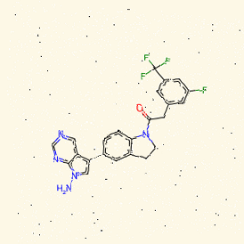 Nn1cc(-c2ccc3c(c2)CCN3C(=O)Cc2cc(F)cc(C(F)(F)F)c2)c2cncnc21